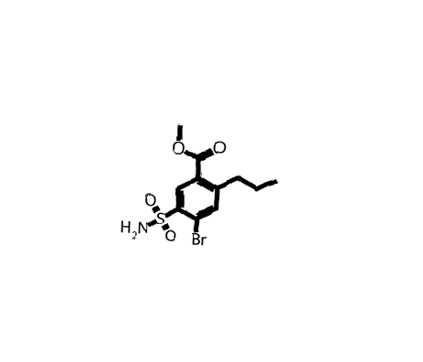 CCCc1cc(Br)c(S(N)(=O)=O)cc1C(=O)OC